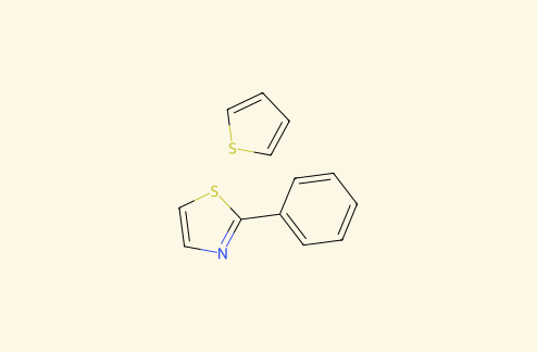 c1ccc(-c2nccs2)cc1.c1ccsc1